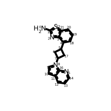 Nc1nc2c(C3CC(n4ccc5cccnc54)C3)cccc2s1